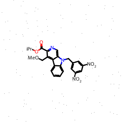 COCc1c(C(=O)OC(C)C)ncc2c1c1ccccc1n2Cc1cc([N+](=O)[O-])cc([N+](=O)[O-])c1